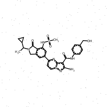 CC(C1CC1)N1Cc2cc(-c3ccn4nc(N)c(C(=O)Nc5ccc(CO)cc5)c4n3)cc(NS(C)(=O)=O)c2C1=O